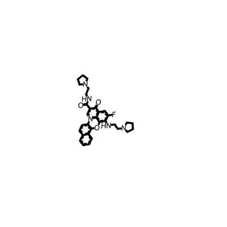 O=C(NCCN1CCCC1)c1cn2c3c(c(NCCN4CCCC4)c(F)cc3c1=O)Oc1c-2ccc2ccccc12